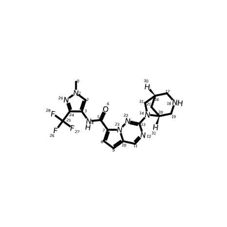 Cn1cc(NC(=O)c2ccc3cnc(N4C[C@@H]5CNC[C@H]4C5)nn23)c(C(F)(F)F)n1